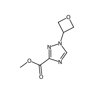 COC(=O)c1ncn(C2COC2)n1